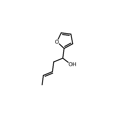 CC=CCC(O)c1ccco1